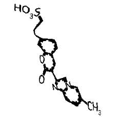 Cc1ccc2nc(-c3cc4ccc(CCS(=O)(=O)O)cc4oc3=O)cn2c1